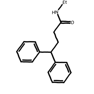 CCNC(=O)CCC(c1ccccc1)c1ccccc1